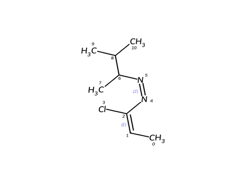 C/C=C(Cl)\N=N/C(C)C(C)C